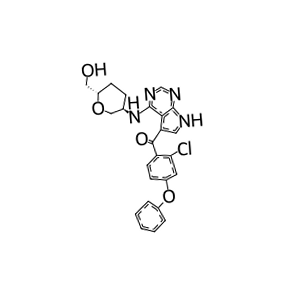 O=C(c1ccc(Oc2ccccc2)cc1Cl)c1c[nH]c2ncnc(N[C@@H]3CC[C@@H](CO)OC3)c12